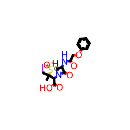 CC1(CI)C(C(=O)O)N2C(=O)C(NC(=O)COc3ccccc3)[C@@H]2[S+]1[O-]